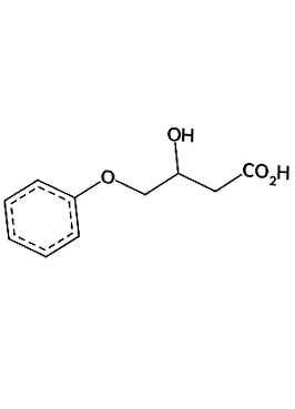 O=C(O)CC(O)COc1ccccc1